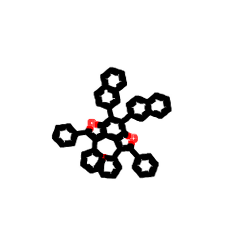 c1ccc(-c2oc3c(-c4ccc5ccccc5c4)c(-c4ccc5ccccc5c4)c4oc(-c5ccccc5)c(-c5ccccc5)c4c3c2-c2ccccc2)cc1